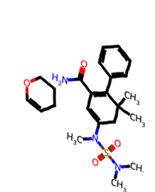 C1=COCCC1.CN(C)S(=O)(=O)N(C)C1=CC(C(N)=O)=C(c2ccccc2)C(C)(C)C1